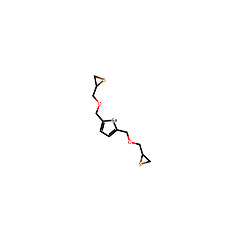 c1cc(COCC2CS2)[se]c1COCC1CS1